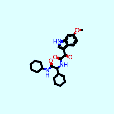 COc1ccc2c(C(=O)C(=O)NC(C(=O)NC3CCCCC3)C3CCCCC3)c[nH]c2c1